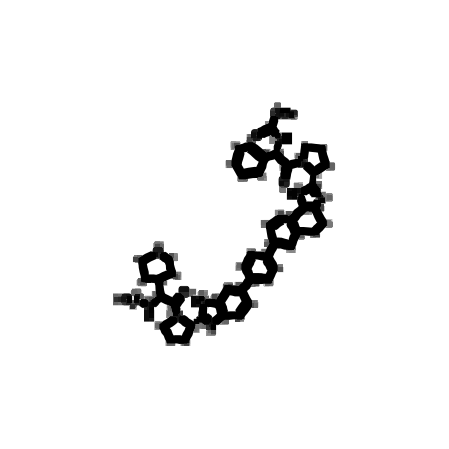 COC(=O)N[C@@H](C(=O)N1CCC[C@H]1c1nc2c([nH]1)-c1ccc(-c3ccc(-c4ccc5nc([C@@H]6CCCN6C(=O)[C@@H](NC(=O)O)C6CCOCC6)[nH]c5c4)cc3)cc1CC2)c1ccccc1